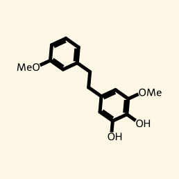 COc1cccc(CCc2cc(O)c(O)c(OC)c2)c1